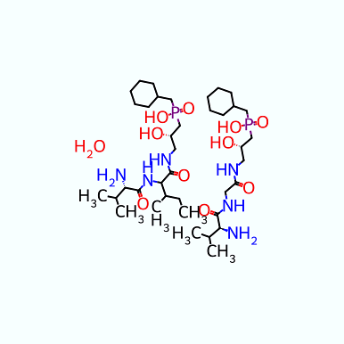 CC(C)[C@H](N)C(=O)NCC(=O)NC[C@H](O)CP(=O)(O)CC1CCCCC1.CCC(C)C(NC(=O)[C@@H](N)C(C)C)C(=O)NC[C@H](O)CP(=O)(O)CC1CCCCC1.O